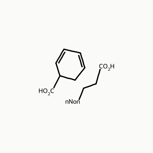 CCCCCCCCCCCC(=O)O.O=C(O)C1C=CC=CC1